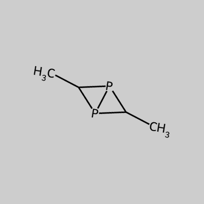 CC1P2C(C)P12